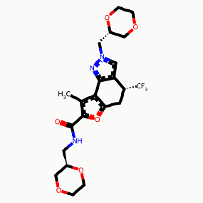 Cc1c(C(=O)NC[C@@H]2COCCO2)oc2c1-c1nn(C[C@H]3COCCO3)cc1[C@H](C(F)(F)F)C2